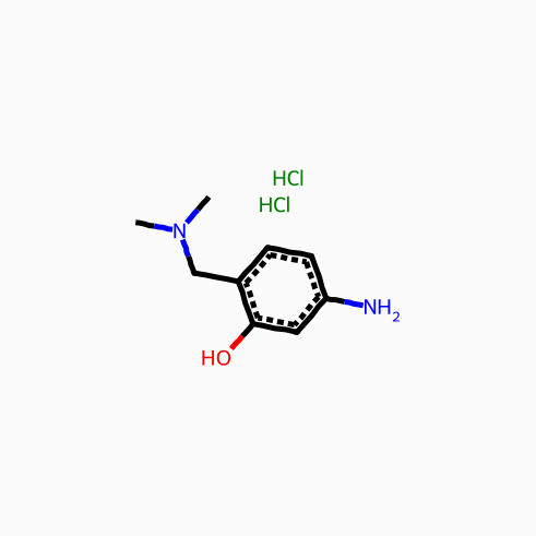 CN(C)Cc1ccc(N)cc1O.Cl.Cl